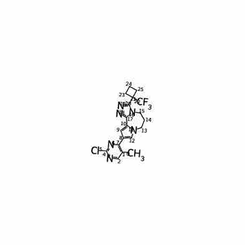 Cc1cnc(Cl)nc1-c1cc2n(c1)CCCn1c-2nnc1C1(C(F)(F)F)CCC1